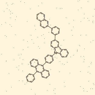 c1ccc(-c2c3ccccc3c(-c3ccc(-n4c5ccccc5c5cc(-c6cccc(-c7ccc8ccccc8c7)c6)ccc54)cc3)c3ccccc23)cc1